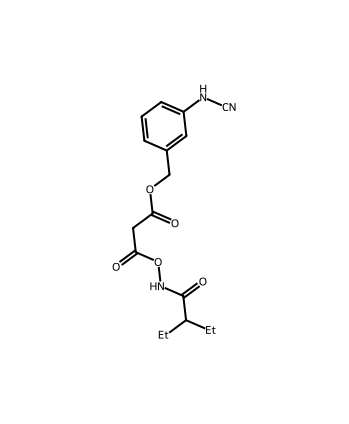 CCC(CC)C(=O)NOC(=O)CC(=O)OCc1cccc(NC#N)c1